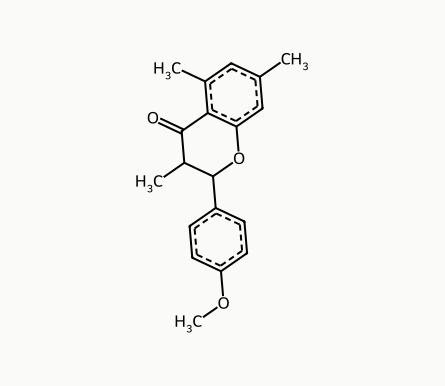 COc1ccc(C2Oc3cc(C)cc(C)c3C(=O)C2C)cc1